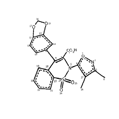 Cc1noc(N2C(C(=O)O)=C(c3ccc4c(c3)OCO4)c3ccccc3S2(=O)=O)c1C